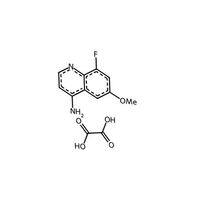 COc1cc(F)c2nccc(N)c2c1.O=C(O)C(=O)O